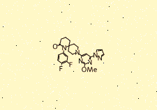 COc1nc(N2CCC3(CCCC(=O)N3c3ccc(F)c(F)c3)CC2)cc(-n2cccn2)n1